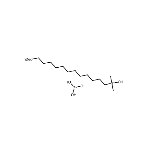 CCCCCCCCCCCCCCCCCCCCCC[N+](C)(C)O.[O-]P(O)O